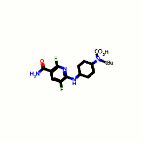 CC(C)(C)N(C(=O)O)C1CCC(Nc2nc(F)c(C(N)=O)cc2F)CC1